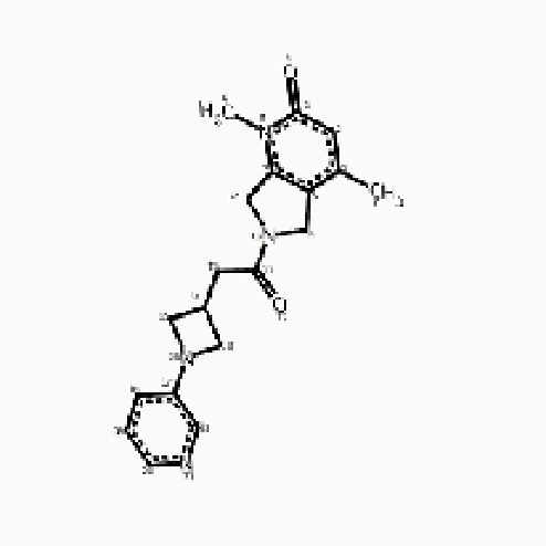 Cc1cc(=O)n(C)c2c1CN(C(=O)CC1CN(c3cccnc3)C1)C2